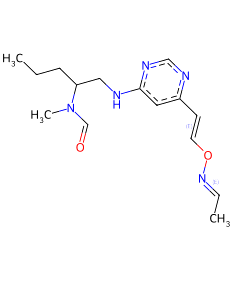 C/C=N/O/C=C/c1cc(NCC(CCC)N(C)C=O)ncn1